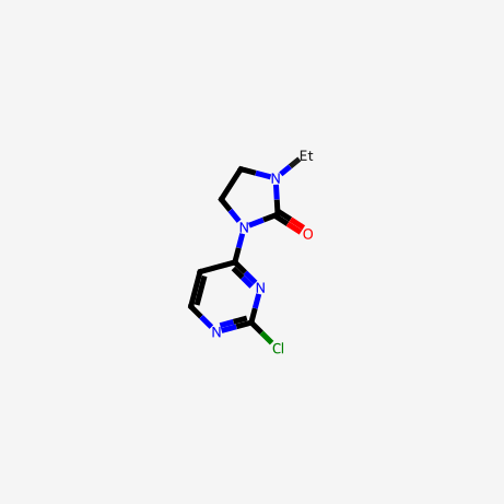 CCN1CCN(c2ccnc(Cl)n2)C1=O